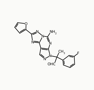 CC(C=O)(c1cccc(F)c1)n1ncc2c1nc(N)n1nc(-c3ccco3)nc21